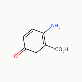 NC1=C(C(=O)O)CC(=O)C=C1